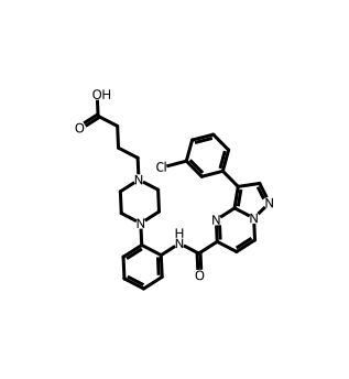 O=C(O)CCCN1CCN(c2ccccc2NC(=O)c2ccn3ncc(-c4cccc(Cl)c4)c3n2)CC1